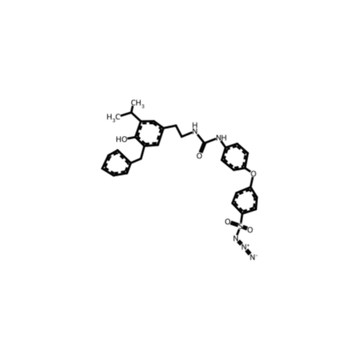 CC(C)c1cc(CCNC(=O)Nc2ccc(Oc3ccc(S(=O)(=O)N=[N+]=[N-])cc3)cc2)cc(Cc2ccccc2)c1O